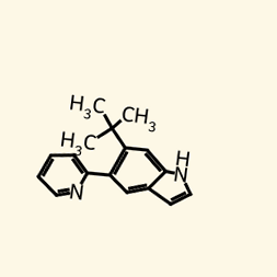 CC(C)(C)c1cc2[nH]ccc2cc1-c1ccccn1